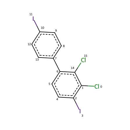 Clc1c(I)ccc(-c2ccc(I)cc2)c1Cl